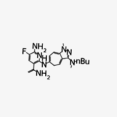 C=C(N)c1cc(F)c(N)nc1NC1=CC=c2c(c(N(C)CCCC)nn2C)=CC1